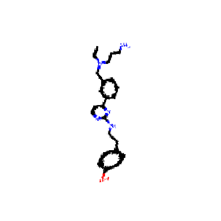 CCN(CCCN)Cc1cccc(-c2ccnc(NCCc3ccc(O)cc3)n2)c1